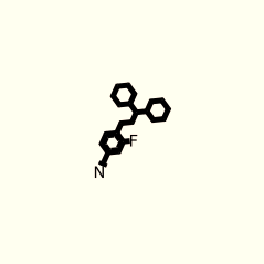 N#Cc1ccc(CCC(C2CCCCC2)C2CCCCC2)c(F)c1